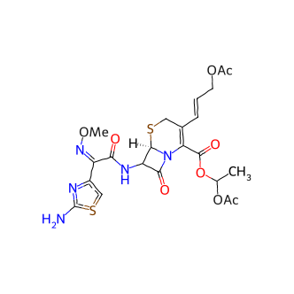 CO/N=C(\C(=O)NC1C(=O)N2C(C(=O)OC(C)OC(C)=O)=C(/C=C/COC(C)=O)CS[C@H]12)c1csc(N)n1